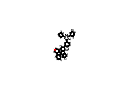 c1ccc(-c2nc(-c3ccccc3)nc(-c3ccc4oc5c6c(ccc5c4c3)C3(c4ccccc4-c4ccccc43)c3ccccc3-6)n2)cc1